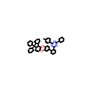 Cc1ccc(-c2nc(-c3ccccc3)nc(-c3ccccc3-c3ccc4c(c3)Oc3ccc5c(c3O4)-c3ccccc3C5(c3ccccc3)c3ccccc3)n2)cc1